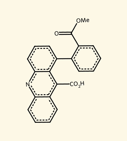 COC(=O)c1ccccc1-c1cccc2nc3ccccc3c(C(=O)O)c12